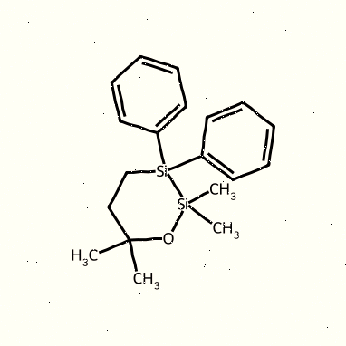 CC1(C)CC[Si](c2ccccc2)(c2ccccc2)[Si](C)(C)O1